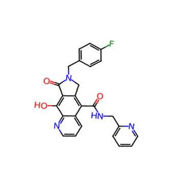 O=C(NCc1ccccn1)c1c2c(c(O)c3ncccc13)C(=O)N(Cc1ccc(F)cc1)C2